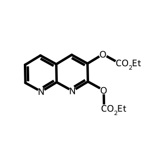 CCOC(=O)Oc1cc2cccnc2nc1OC(=O)OCC